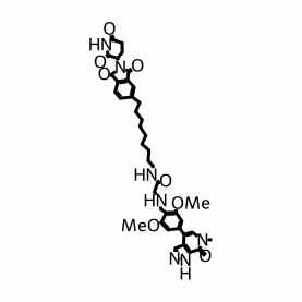 COc1cc(-c2cn(C)c(=O)c3[nH]ncc23)cc(OC)c1CNCC(=O)NCCCCCCCCCc1ccc2c(c1)C(=O)N(C1CCC(=O)NC1=O)C2=O